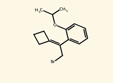 CC(C)Oc1ccccc1C(CBr)=C1CCC1